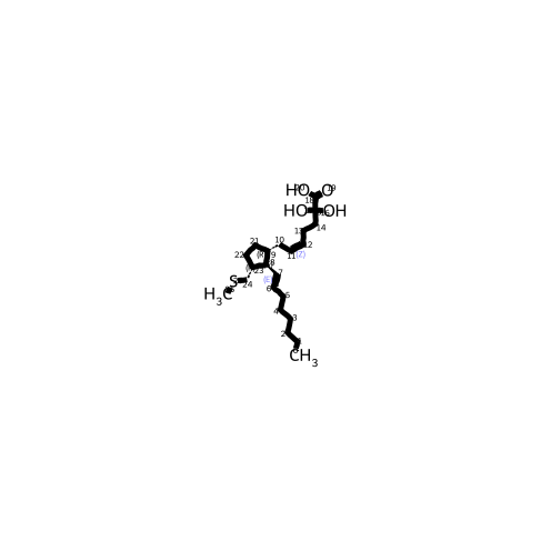 CCCCCC/C=C/[C@@H]1[C@@H](C/C=C\CCC(O)(O)C(=O)O)CC[C@H]1CSC